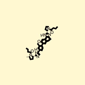 CCCC(=O)N1CCC[C@H]1c1nc2ccc3cc4c(cc3c2[nH]1)OCc1cc(-c2cnc([C@@H]3CC[C@H](C)N3C(=O)CCC)[nH]2)ccc1-4